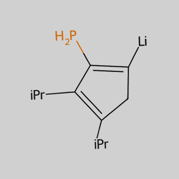 [Li][C]1=C(P)C(C(C)C)=C(C(C)C)C1